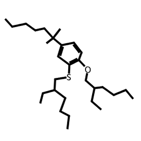 CCCCCC(C)(C)c1ccc(OCC(CC)CCCC)c(SCC(CC)CCCC)c1